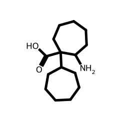 NC1CCCCCC1(C(=O)O)C1CCCCCC1